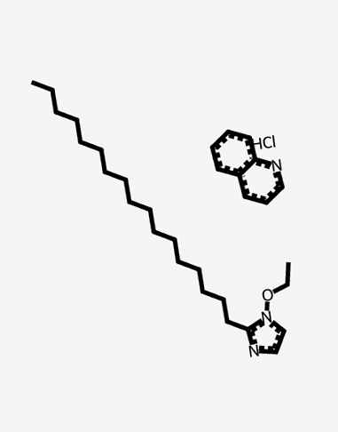 CCCCCCCCCCCCCCCCCc1nccn1OCC.Cl.c1ccc2ncccc2c1